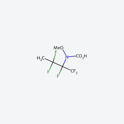 CON(C(=O)O)C(F)(C(C)(F)F)C(F)(F)F